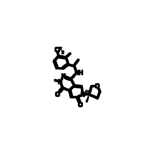 Cc1c(C(C)Nc2nn(C)c(=O)c3cc(=O)n([C@]4(C)CCOC4)cc23)cccc1C(F)(F)F